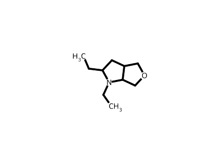 CCC1CC2COCC2N1CC